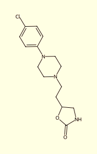 O=C1NCC(CCN2CCN(c3ccc(Cl)cc3)CC2)O1